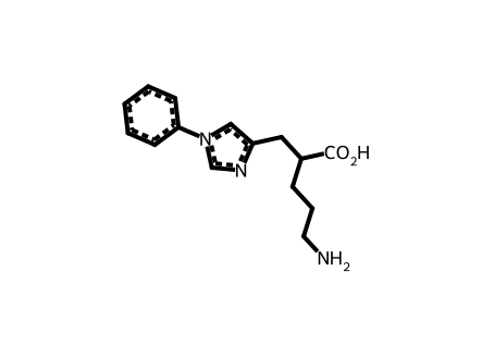 NCCCC(Cc1cn(-c2ccccc2)cn1)C(=O)O